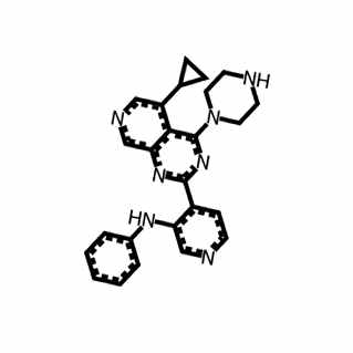 c1ccc(Nc2cnccc2-c2nc(N3CCNCC3)c3c(C4CC4)cncc3n2)cc1